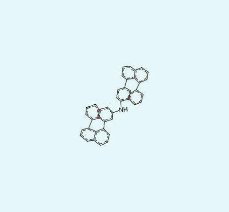 c1ccc(-c2cccc3cccc(-c4ccc(Nc5cccc(-c6cccc7cccc(-c8ccccc8)c67)c5)cc4)c23)cc1